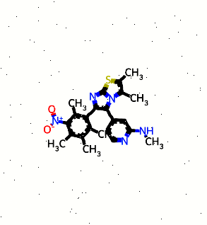 CNc1cc(-c2c(-c3c(C)c(C)c(C)c([N+](=O)[O-])c3C)nc3sc(C)c(C)n23)ccn1